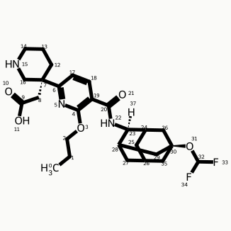 CCCOc1nc([C@]2(CC(=O)O)CCCNC2)ccc1C(=O)N[C@H]1C2CC3CC1C[C@@](OC(F)F)(C3)C2